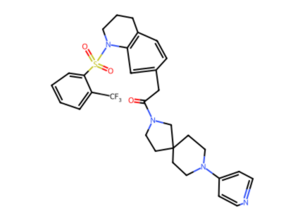 O=C(Cc1ccc2c(c1)N(S(=O)(=O)c1ccccc1C(F)(F)F)CCC2)N1CCC2(CCN(c3ccncc3)CC2)C1